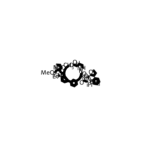 CCn1c(-c2cccnc2[C@H](C)OC)c2c3cc(ccc31)-c1cccc(c1)C[C@H](NC(=O)C(C(C)C)N(C)C(=O)[C@@H]1OCC[C@@H]1c1ccccc1)C(=O)N1CCC[C@H](N1)C(=O)OCC(C)(C)C2